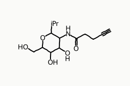 C#CCCC(=O)NC1C(O)C(O)C(CO)OC1C(C)C